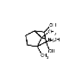 CC1(C)C2CCC1(C)C(O)(O)C2O